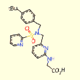 CC(C)(C)c1ccc(CN(Cc2cccc(NCC(=O)O)n2)S(=O)(=O)c2ccccn2)cc1